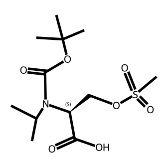 CC(C)N(C(=O)OC(C)(C)C)[C@@H](COS(C)(=O)=O)C(=O)O